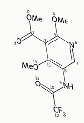 COC(=O)c1c(OC)ncc(NC(=O)C(F)(F)F)c1OC